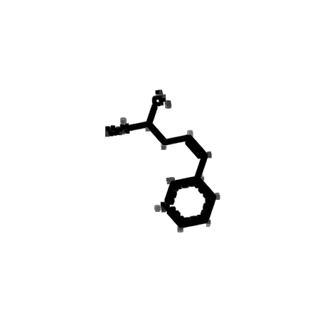 CNC(C/C=C\c1cccnc1)C(F)(F)F